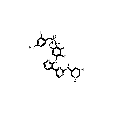 N#Cc1ccc(CS(=O)(=O)Nc2c(F)cc(Oc3ncccc3-c3ccnc(NC4CNC[C@@H](F)C4)n3)c(F)c2F)c(F)c1